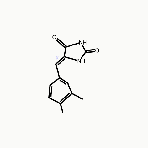 Cc1ccc(/C=C2\NC(=O)NC2=O)cc1C